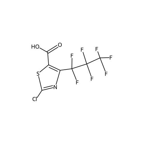 O=C(O)c1sc(Cl)nc1C(F)(F)C(F)(F)C(F)(F)F